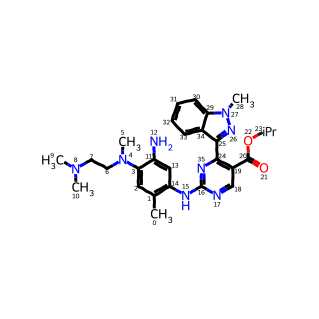 Cc1cc(N(C)CCN(C)C)c(N)cc1Nc1ncc(C(=O)OC(C)C)c(-c2nn(C)c3ccccc23)n1